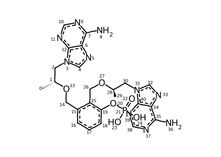 C[C@H](Cn1cnc2c(N)ncnc21)OCc1cccc(OP(=O)(O)O)c1CO[C@H](C)Cn1cnc2c(N)ncnc21